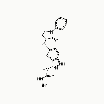 CC(C)NC(=O)Nc1n[nH]c2ccc(OC3CCN(c4ccccc4)C3=O)cc12